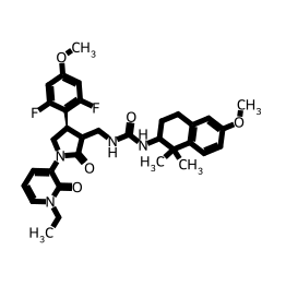 CCn1cccc(N2C[C@@H](c3c(F)cc(OC)cc3F)C(CNC(=O)NC3CCc4cc(OC)ccc4C3(C)C)C2=O)c1=O